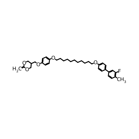 C=C1OCC(COc2ccc(OCCCCCCCCCCCOc3ccc(-c4ccc(C)c(F)c4)cc3)cc2)CO1